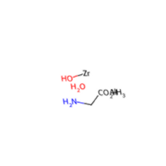 NCC(=O)O.O.[AlH3].[OH][Zr]